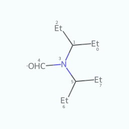 CCC(CC)N([C]=O)C(CC)CC